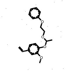 C=Cc1ccc(OC(C)OCCOc2ccccc2)c(OC)c1